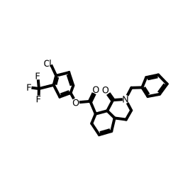 O=C(Oc1ccc(Cl)c(C(F)(F)F)c1)C1CC=CC2CCN(Cc3ccccc3)C(=O)C21